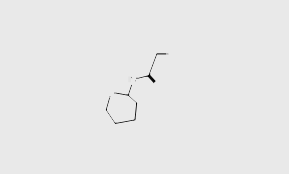 O=C(CO)NC1CCCCO1